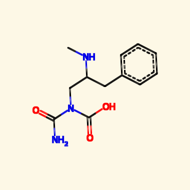 CNC(Cc1ccccc1)CN(C(N)=O)C(=O)O